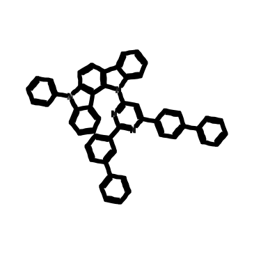 c1ccc(-c2ccc(-c3cc(-n4c5ccccc5c5ccc6c(c7ccccc7n6-c6ccccc6)c54)nc(-c4cccc(-c5ccccc5)c4)n3)cc2)cc1